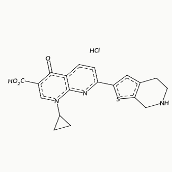 Cl.O=C(O)c1cn(C2CC2)c2nc(-c3cc4c(s3)CNCC4)ccc2c1=O